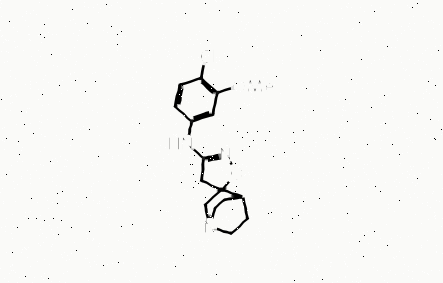 COc1cc(NC2=NOC3(C2)CN2CCC3CC2)ccc1Cl